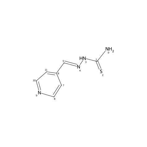 NC(=S)NN=Cc1ccncc1